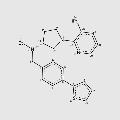 CCN(Cc1ccc(-c2cccs2)cc1)[C@@H]1CCN(c2ncccc2C(C)C)C1